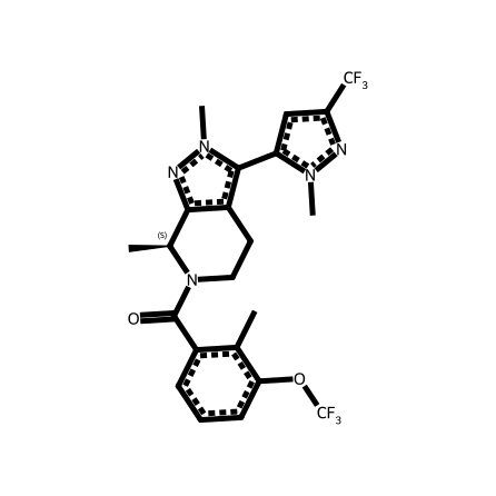 Cc1c(OC(F)(F)F)cccc1C(=O)N1CCc2c(nn(C)c2-c2cc(C(F)(F)F)nn2C)[C@@H]1C